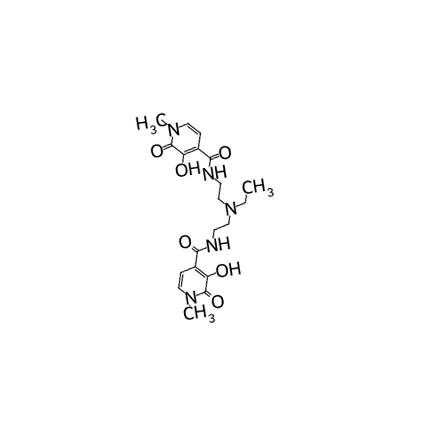 CCN(CCNC(=O)c1ccn(C)c(=O)c1O)CCNC(=O)c1ccn(C)c(=O)c1O